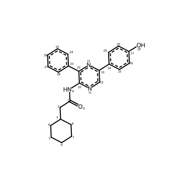 O=C(CC1CCCCC1)Nc1ncc(-c2ccc(O)cc2)nc1-c1ccccc1